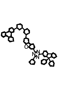 c1ccc(-c2nc(-c3ccc4c(c3)C(c3ccccc3)(c3ccccc3)c3ccccc3-4)nc(-c3ccc4c(c3)oc3ccc(-c5cccc(-c6cccc(-c7ccc8c9ccccc9c9ccccc9c8c7)c6)c5)cc34)n2)cc1